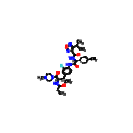 CCC(=O)N[C@@H](C(=O)N1CCN(C)CC1)[C@@H](C)c1ccc(NC(=O)[C@@H](NC(=O)c2nonc2C(C)C)[C@H]2CC[C@H](C)CC2)c(F)c1